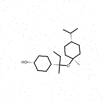 CCC(C)(O[C@]1(C)CC[C@@H](C(C)C)CC1)[C@H]1CC[C@@H](O)CC1